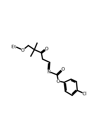 CCOCC(C)(C)C(=O)CC=NC(=O)Oc1ccc(Cl)cc1